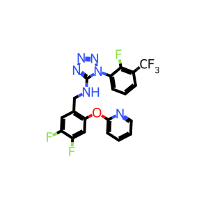 Fc1cc(CNc2nnnn2-c2cccc(C(F)(F)F)c2F)c(Oc2ccccn2)cc1F